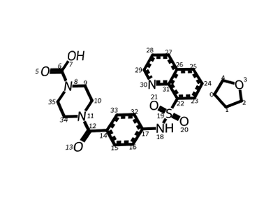 C1CCOC1.O=C(O)N1CCN(C(=O)c2ccc(NS(=O)(=O)c3cccc4cccnc34)cc2)CC1